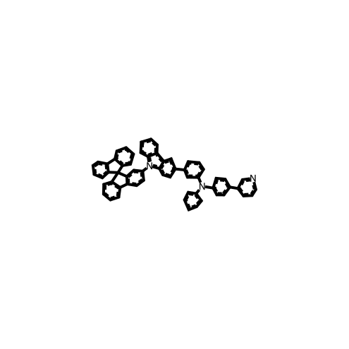 c1ccc(N(c2ccc(-c3cccnc3)cc2)c2cccc(-c3ccc4c(c3)c3ccccc3n4-c3ccc4c(c3)C3(c5ccccc5-c5ccccc53)c3ccccc3-4)c2)cc1